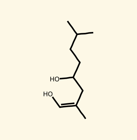 CC(=CO)CC(O)CCC(C)C